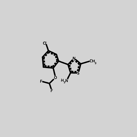 Cc1nc(-c2cc(Cl)ccc2OC(F)F)c(N)s1